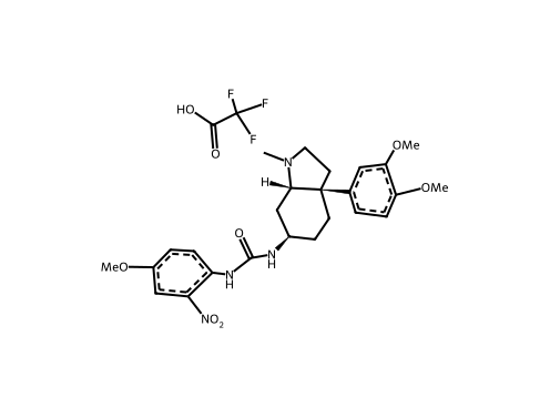 COc1ccc(NC(=O)N[C@@H]2CC[C@@]3(c4ccc(OC)c(OC)c4)CCN(C)[C@H]3C2)c([N+](=O)[O-])c1.O=C(O)C(F)(F)F